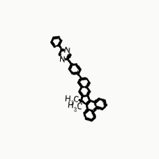 CC1(C)c2cc3cc(-c4ccc(-c5cnc(-c6ccccc6)cn5)cc4)ccc3cc2-c2c1c1ccccc1c1ccccc21